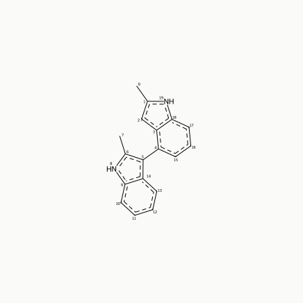 Cc1[c]c2c(-c3c(C)[nH]c4ccccc34)cccc2[nH]1